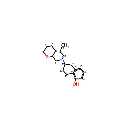 CCCN(CC1CCCCO1)C1CCc2c(O)cccc2C1